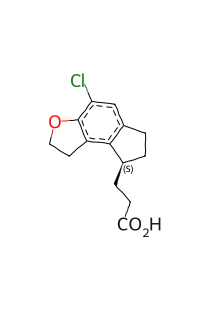 O=C(O)CC[C@@H]1CCc2cc(Cl)c3c(c21)CCO3